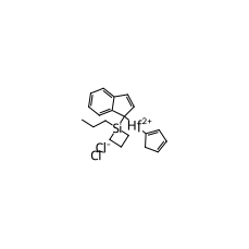 CCC[Si]1([C]2([Hf+2][C]3=CC=CC3)C=Cc3ccccc32)CCC1.[Cl-].[Cl-]